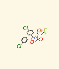 O=C1CO[C@H](c2cccc(Cl)c2)[C@@H](c2ccc(Cl)cc2)N1[C@@H](CO)CC(F)(F)F